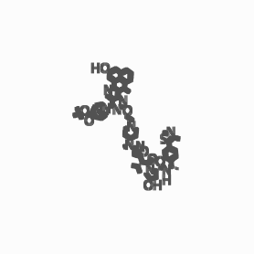 Cc1ncsc1-c1ccc([C@H](C)NC(=O)[C@@H]2C[C@@H](O)CN2C(=O)[C@@H](c2cc(N(C)C3CCN(CCOc4nc(N5CC6CCCC5CN6C(=O)OC(C)(C)C)c5cnc6c(c5n4)C(C)c4cccc5cc(O)cc-6c45)CC3)no2)C(C)C)cc1